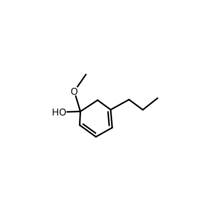 CCCC1=CC=CC(O)(OC)C1